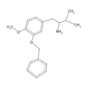 COc1ccc(CC(N)C(C)C)cc1OCc1ccccc1